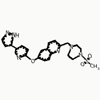 CS(=O)(=O)N1CCN(Cc2ccc3cc(Oc4ccc(-c5ccn[nH]5)cn4)ccc3n2)CC1